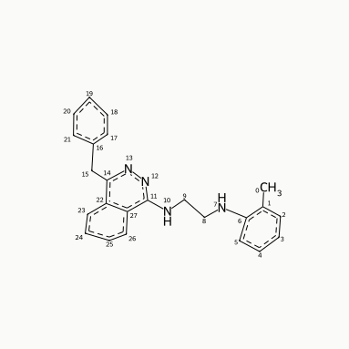 Cc1ccccc1NCCNc1nnc(Cc2ccccc2)c2ccccc12